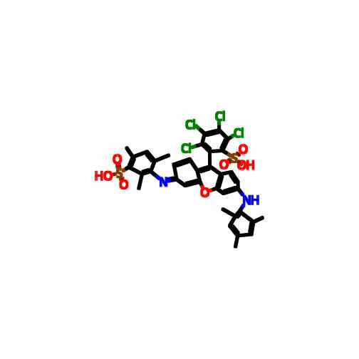 Cc1cc(C)c(Nc2ccc3c(-c4c(Cl)c(Cl)c(Cl)c(Cl)c4S(=O)(=O)O)c4cc/c(=N\c5c(C)cc(C)c(S(=O)(=O)O)c5C)cc-4oc3c2)c(C)c1